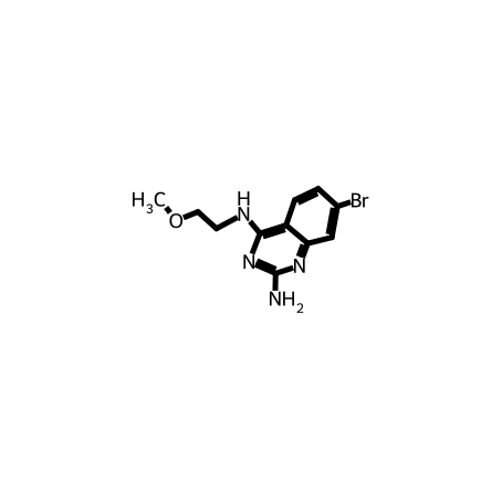 COCCNc1nc(N)nc2cc(Br)ccc12